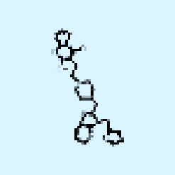 Cc1nc2sccn2c(=O)c1CCN1CCC(Cc2nc3cccnc3n2Cc2ccco2)CC1